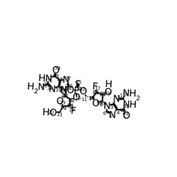 Nc1nc2c(ncn2[C@@H]2O[C@H](COP(O)(=S)O[C@@H]3[C@H](F)[C@@H](CO)O[C@H]3n3cnc4c(=O)[nH]c(N)nc43)[C@@H](F)[C@H]2O)c(=O)[nH]1